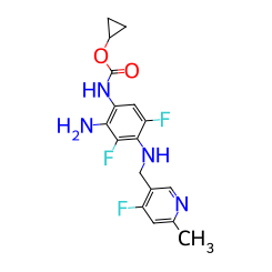 Cc1cc(F)c(CNc2c(F)cc(NC(=O)OC3CC3)c(N)c2F)cn1